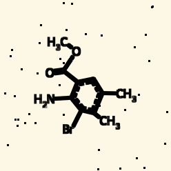 COC(=O)c1cc(C)c(C)c(Br)c1N